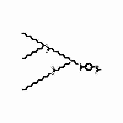 CCCCCCCCCCCOC(=O)CCCCCN(CCCCCCCC(=O)OC(CCCCCCCC)CCCCCCCC)CCOC(=O)c1ccc(NC(C)=O)cc1